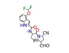 CC(C)CC(C(=O)N1CC(C=O)CC1C#N)N(C)C(=O)c1cc2c(OC(F)F)cccc2[nH]1